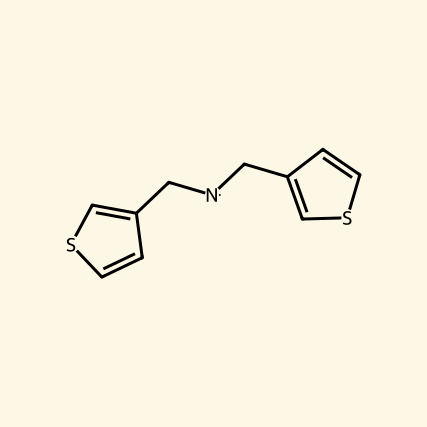 c1cc(C[N]Cc2ccsc2)cs1